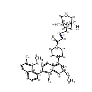 CCc1c(F)ccc2cccc(-c3ncc4c(N5CCN(C(=O)/C=C/CN6[C@@H]7CC[C@H]6COC7)CC5)nc(OC)nc4c3F)c12